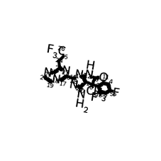 CC1(c2ccc(F)cc2F)C(=O)Nc2nc(-c3cn4ccnc4c(CCC(F)(F)F)n3)nc(N)c21